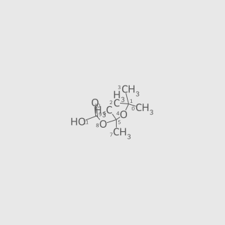 CC(C)(C)OC(C)(C)OC(=O)O